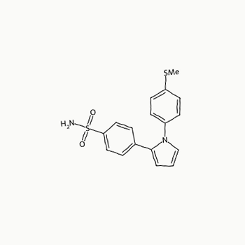 CSc1ccc(-n2cccc2-c2ccc(S(N)(=O)=O)cc2)cc1